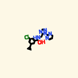 OC(NCc1ncnn1-c1ncccn1)c1cc(Cl)cc(C2CC2)c1